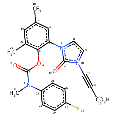 CN(C(=O)Oc1c(-n2ccn(C#CC(=O)O)c2=O)cc(C(F)(F)F)cc1C(F)(F)F)c1ccc(F)cc1